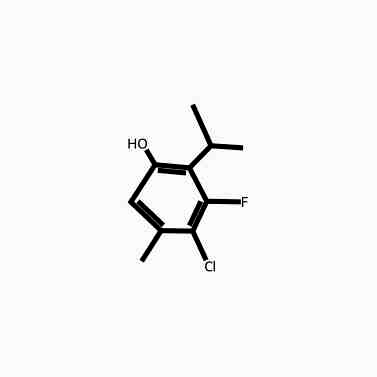 Cc1cc(O)c(C(C)C)c(F)c1Cl